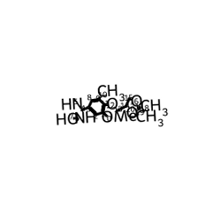 COc1cc(C(=N)NO)cc(C)c1OCC1COC(C)(C)O1